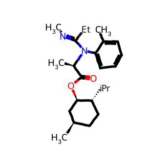 CC/C(=N\C)N(c1ccccc1C)[C@H](C)C(=O)O[C@@H]1C[C@H](C)CC[C@H]1C(C)C